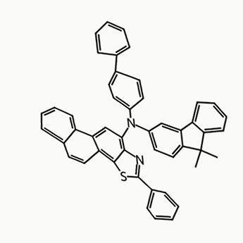 CC1(C)c2ccccc2-c2cc(N(c3ccc(-c4ccccc4)cc3)c3cc4c5ccccc5ccc4c4sc(-c5ccccc5)nc34)ccc21